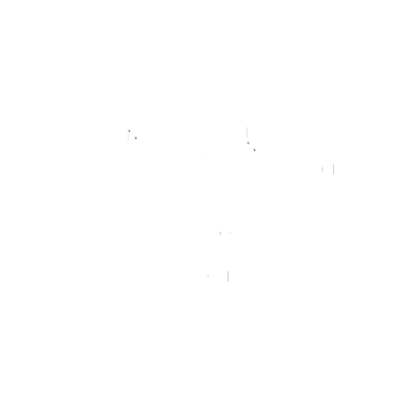 CCNc1cnc2ccccc2c1OC